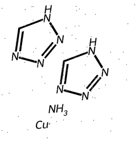 N.[Cu].c1nnn[nH]1.c1nnn[nH]1